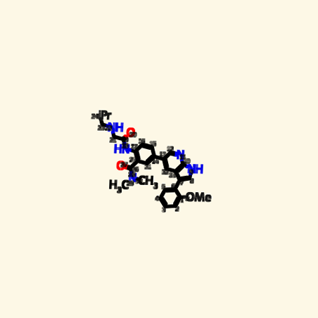 COc1ccccc1-c1c[nH]c2ncc(-c3ccc(NC(=O)CNCC(C)C)c(C(=O)N(C)C)c3)cc12